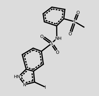 CS(=O)(=O)c1ccccc1NS(=O)(=O)c1ccc2[nH]nc(I)c2c1